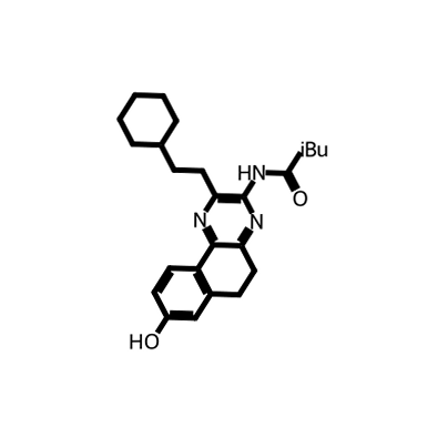 CCC(C)C(=O)Nc1nc2c(nc1CCC1CCCCC1)-c1ccc(O)cc1CC2